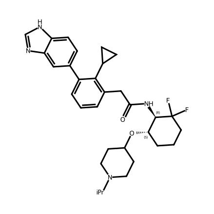 CC(C)N1CCC(O[C@H]2CCCC(F)(F)[C@@H]2NC(=O)Cc2cccc(-c3ccc4[nH]cnc4c3)c2C2CC2)CC1